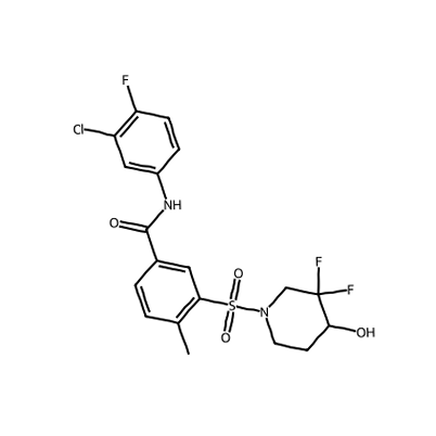 Cc1ccc(C(=O)Nc2ccc(F)c(Cl)c2)cc1S(=O)(=O)N1CCC(O)C(F)(F)C1